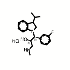 CNC[C@@H](O)[C@H](c1cccc(F)c1)N1CC(C(C)C)c2ccccc21.Cl